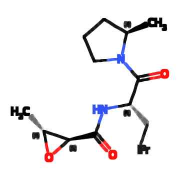 CC(C)C[C@H](NC(=O)[C@H]1O[C@@H]1C)C(=O)N1CCC[C@H]1C